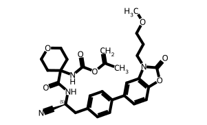 C=C(C)OC(=O)NC1(C(=O)N[C@H](C#N)Cc2ccc(-c3ccc4oc(=O)n(CCCOC)c4c3)cc2)CCOCC1